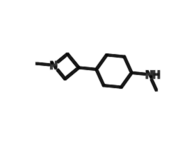 CNC1CCC(C2CN(C)C2)CC1